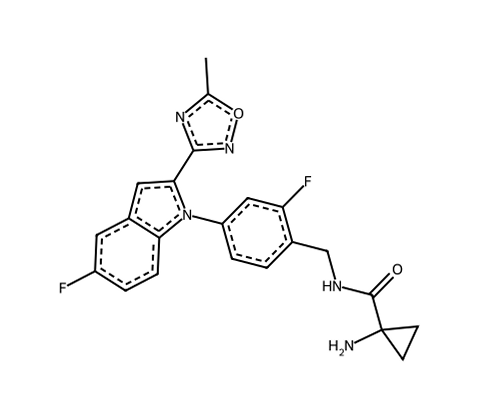 Cc1nc(-c2cc3cc(F)ccc3n2-c2ccc(CNC(=O)C3(N)CC3)c(F)c2)no1